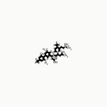 Cc1cc(-c2c(C)cc(C(F)(F)F)cc2C)c(F)c([C@H](CC(=O)O)NC(=O)C(CC(C)C)n2cc(CCN(C)C)c(C(F)(F)F)cc2=O)c1F